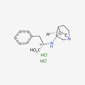 Cl.Cl.O=C(O)[C@H](Cc1ccccc1)N[C@@H]1CN2CCC1CC2